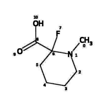 CN1CCCCC1(F)C(=O)O